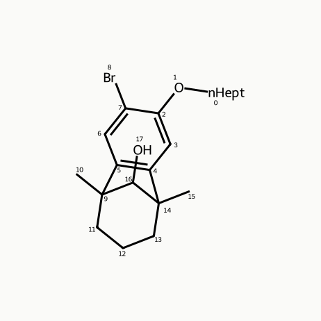 CCCCCCCOc1cc2c(cc1Br)C1(C)CCCC2(C)C1O